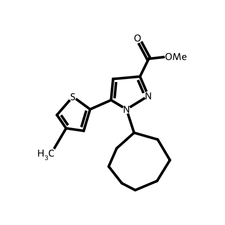 COC(=O)c1cc(-c2cc(C)cs2)n(C2CCCCCCC2)n1